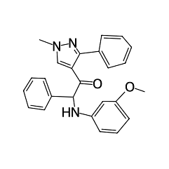 COc1cccc(NC(C(=O)c2cn(C)nc2-c2ccccc2)c2ccccc2)c1